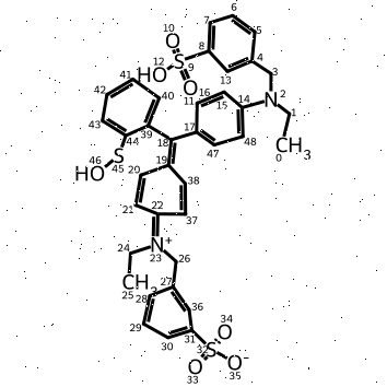 CCN(Cc1cccc(S(=O)(=O)O)c1)c1ccc(C(=C2C=CC(=[N+](CC)Cc3cccc(S(=O)(=O)[O-])c3)C=C2)c2ccccc2SO)cc1